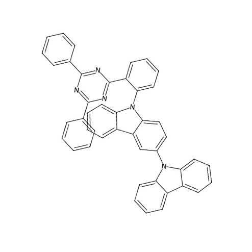 c1ccc(-c2nc(-c3ccccc3)nc(-c3ccccc3-n3c4ccccc4c4cc(-n5c6ccccc6c6ccccc65)ccc43)n2)cc1